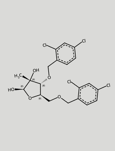 C[C@]1(O)[C@H](O)O[C@H](COCc2ccc(Cl)cc2Cl)[C@H]1OCc1ccc(Cl)cc1Cl